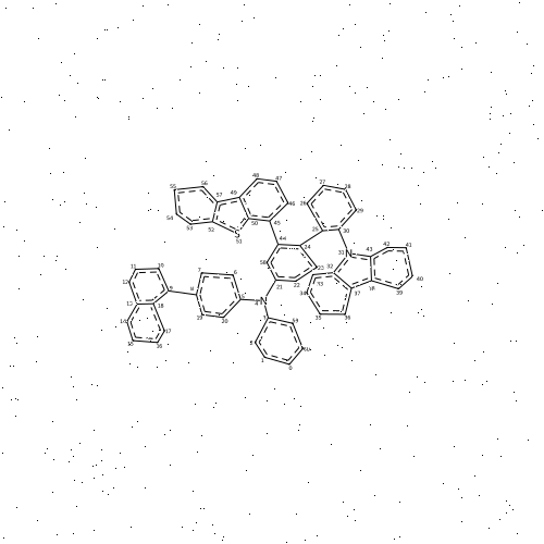 c1ccc(N(c2ccc(-c3cccc4ccccc34)cc2)c2ccc(-c3ccccc3-n3c4ccccc4c4ccccc43)c(-c3cccc4c3sc3ccccc34)c2)cc1